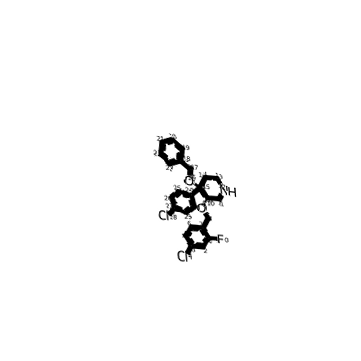 Fc1cc(Cl)ccc1CO[C@H]1CNCC[C@@]1(OCc1ccccc1)c1ccc(Cl)cc1